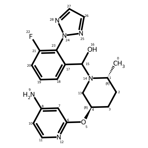 C[C@@H]1CC[C@@H](Oc2cc(N)ccn2)CN1C(O)c1cccc(F)c1-n1nccn1